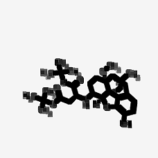 CO[C@@]12CCC(N[C@@H](CC(=O)OC(C)(C)C)C(=O)OC(C)(C)C)[C@@H]3Oc4c(O)ccc5c4[C@@]31CCN(C)C2C5